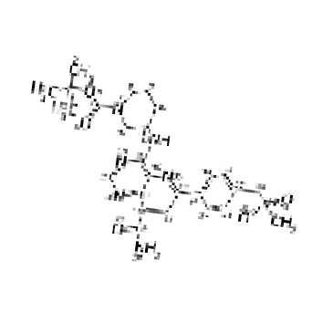 CC(C)(C)OC(=O)N1CCC[C@H](Nc2ncnc3c(C(N)=O)cc(-c4ccc(CS(C)(=O)=O)cc4)nc23)C1